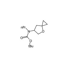 [CH2]CCN(C(=O)OC(C)(C)C)C1COC2(CC2)C1